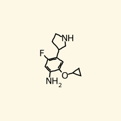 Nc1cc(F)c(C2CCNC2)cc1OC1CC1